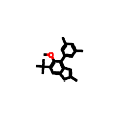 COc1c(C(C)(C)C)cc2c(c1-c1cc(C)cc(C)c1)C=C(C)[CH]2